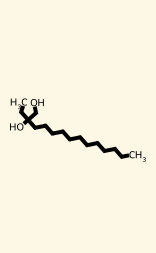 CCCCCCCCCCCCC(O)(CC)CO